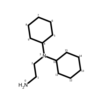 NCCN(C1CCCCC1)C1CCCCC1